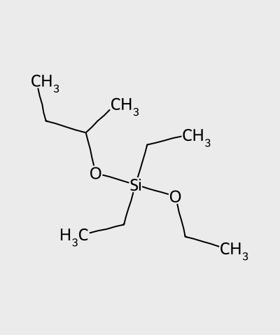 CCO[Si](CC)(CC)OC(C)CC